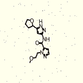 COCCn1nccc1C(=O)Nc1cc(C2CCCO2)[nH]n1